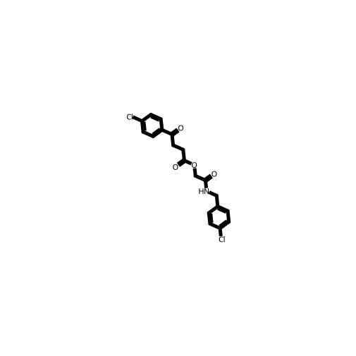 O=C(COC(=O)CCC(=O)c1ccc(Cl)cc1)NCc1ccc(Cl)cc1